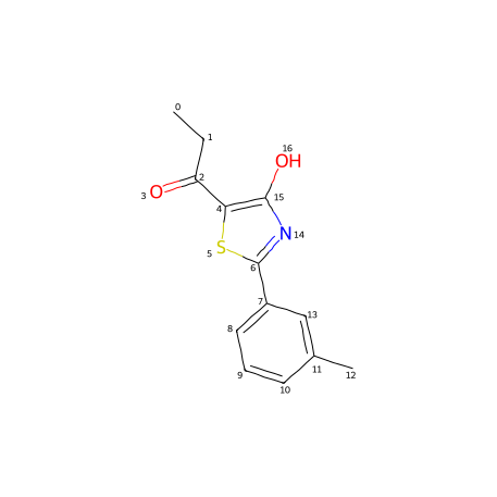 CCC(=O)c1sc(-c2cccc(C)c2)nc1O